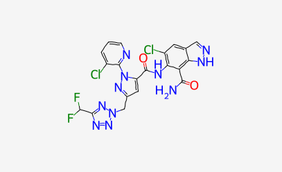 NC(=O)c1c(NC(=O)c2cc(Cn3nnc(C(F)F)n3)nn2-c2ncccc2Cl)c(Cl)cc2cn[nH]c12